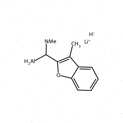 CN[CH]([AlH2])c1oc2ccccc2c1C.[H-].[Li+]